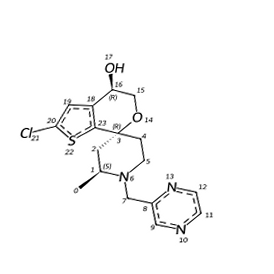 C[C@H]1C[C@@]2(CCN1Cc1cnccn1)OC[C@H](O)c1cc(Cl)sc12